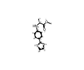 COC(=O)[C@H](C)Nc1ccc(-c2nccs2)cc1